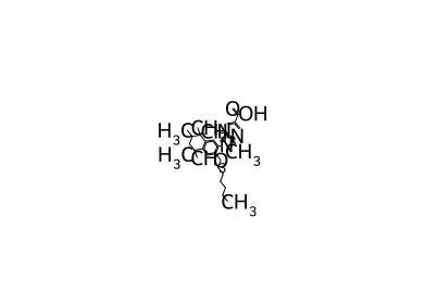 CCCCCCOc1cc2c(cc1N(C)c1ncc(C(=O)O)cn1)C(C)(C)C(C)CC2(C)C